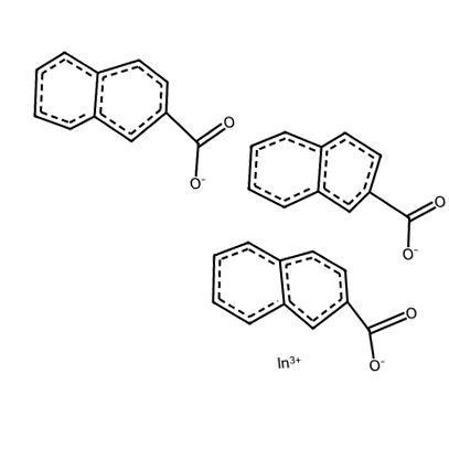 O=C([O-])c1ccc2ccccc2c1.O=C([O-])c1ccc2ccccc2c1.O=C([O-])c1ccc2ccccc2c1.[In+3]